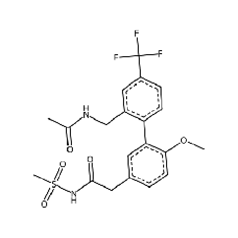 COc1ccc(CC(=O)NS(C)(=O)=O)cc1-c1ccc(C(F)(F)F)cc1CNC(C)=O